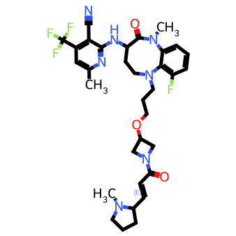 Cc1cc(C(F)(F)F)c(C#N)c(NC2CCN(CCCOC3CN(C(=O)/C=C/C4CCCN4C)C3)c3c(F)cccc3N(C)C2=O)n1